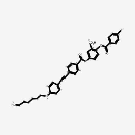 O=C(Oc1ccc(OC(=O)c2ccc(I)cc2)c(C(=O)O)c1)c1ccc(C#Cc2ccc(OCCCCCCO)cc2)cc1